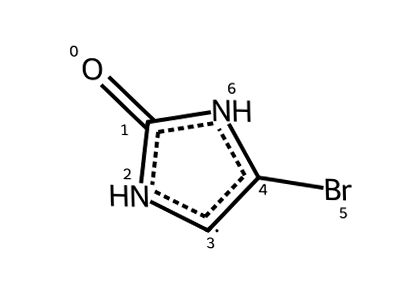 O=c1[nH][c]c(Br)[nH]1